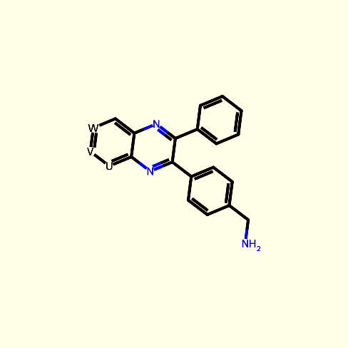 NCc1ccc(-c2n[c]3c(nc2-c2ccccc2)=[CH][W]=[V][U]=3)cc1